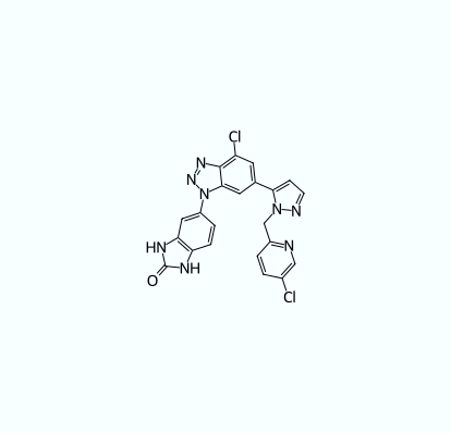 O=c1[nH]c2ccc(-n3nnc4c(Cl)cc(-c5ccnn5Cc5ccc(Cl)cn5)cc43)cc2[nH]1